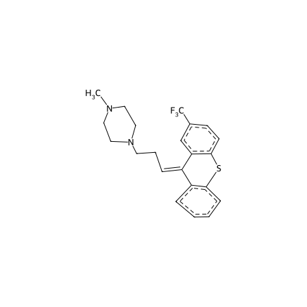 CN1CCN(CC/C=C2/c3ccccc3Sc3ccc(C(F)(F)F)cc32)CC1